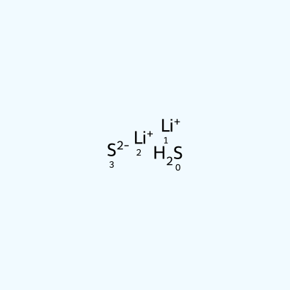 S.[Li+].[Li+].[S-2]